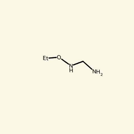 CCONCN